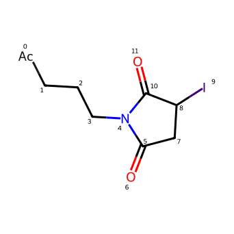 CC(=O)CCCN1C(=O)CC(I)C1=O